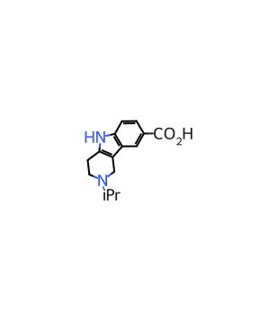 CC(C)N1CCc2[nH]c3ccc(C(=O)O)cc3c2C1